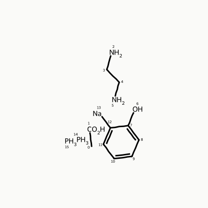 CC(=O)O.NCCN.Oc1cccc[c]1[Na].P.P